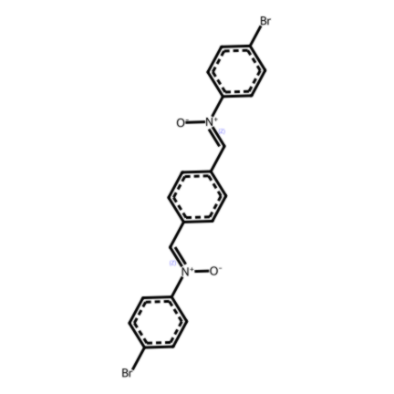 [O-]/[N+](=C\c1ccc(/C=[N+](\[O-])c2ccc(Br)cc2)cc1)c1ccc(Br)cc1